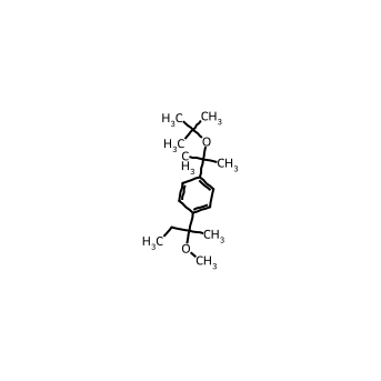 CCC(C)(OC)c1ccc(C(C)(C)OC(C)(C)C)cc1